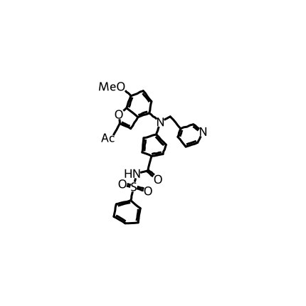 COc1ccc(N(Cc2cccnc2)c2ccc(C(=O)NS(=O)(=O)c3ccccc3)cc2)c2cc(C(C)=O)oc12